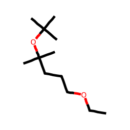 CCOCCCC(C)(C)OC(C)(C)C